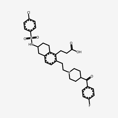 O=C(O)CCc1c(CCN2CCC(C(=O)c3ccc(F)cc3)CC2)ccc2c1CCC(NS(=O)(=O)c1ccc(Cl)cc1)C2